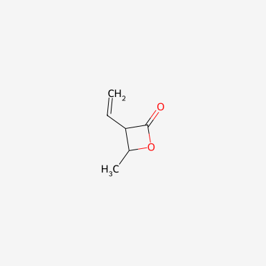 C=CC1C(=O)OC1C